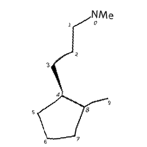 CNCCC[C@@H]1CCCC1C